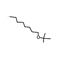 [CH2]CCCCCCCOC(C)(C)C